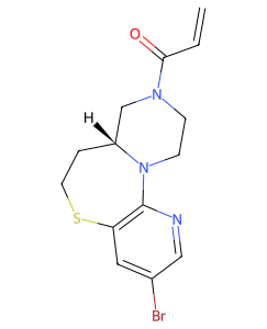 C=CC(=O)N1CCN2c3ncc(Br)cc3SCC[C@@H]2C1